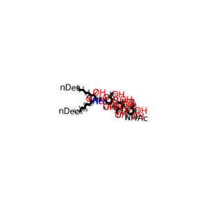 CCCCCCCCCCCCC/C=C/[C@@H](O)[C@H](CO[C@@H]1OC(CO)[C@@H](O[C@@H]2OC(CO)[C@@H](O[C@@H]3OC(CO)[C@@H](O)[C@H](O)C3NC(C)=O)[C@H](O)C2O)[C@H](O)C1O)NC(=O)CCCCCCCCCCCCCCC